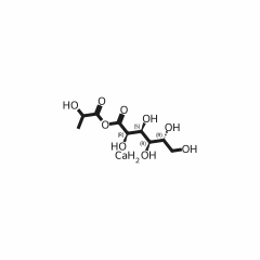 CC(O)C(=O)OC(=O)[C@H](O)[C@@H](O)[C@H](O)[C@H](O)CO.[CaH2]